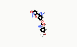 Cn1nc(C2CCC(=O)NC2=O)c2ccc(OCC(=O)Nc3ccc(OC(F)(F)F)cc3)cc21